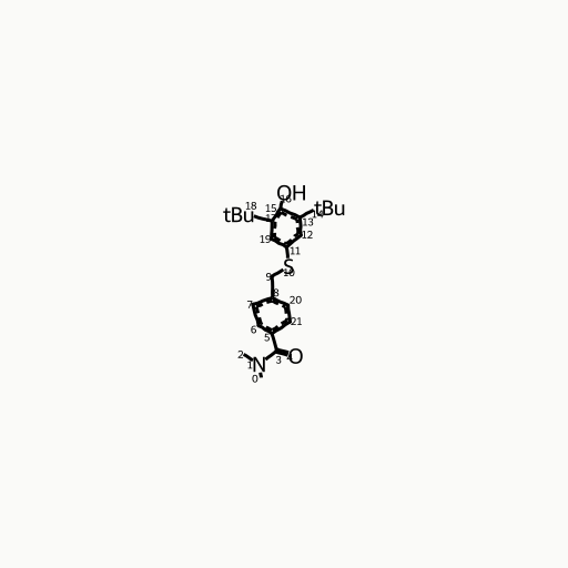 CN(C)C(=O)c1ccc(CSc2cc(C(C)(C)C)c(O)c(C(C)(C)C)c2)cc1